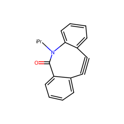 CC(C)N1C(=O)c2ccccc2C#Cc2ccccc21